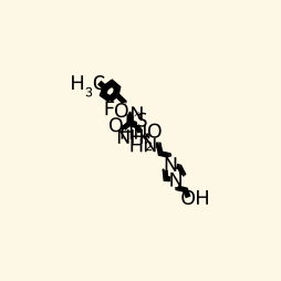 Cc1ccc(COc2nsc(NC(=O)NCCCN3CCN(CCO)CC3)c2C(N)=O)c(F)c1